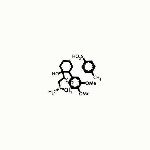 COc1ccc(C2CCCCC2(O)C(C)CN(C)C)cc1OC.Cc1ccc(S(=O)(=O)O)cc1